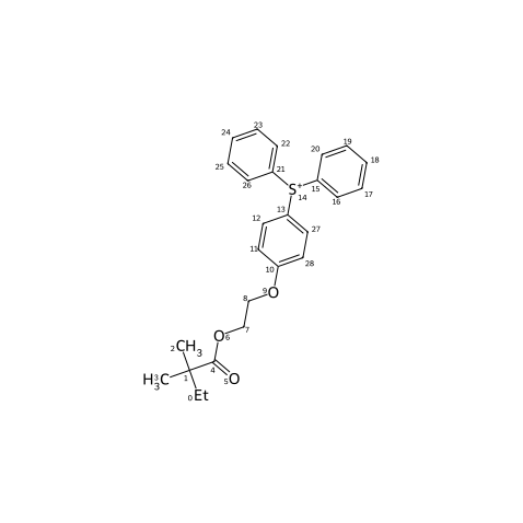 CCC(C)(C)C(=O)OCCOc1ccc([S+](c2ccccc2)c2ccccc2)cc1